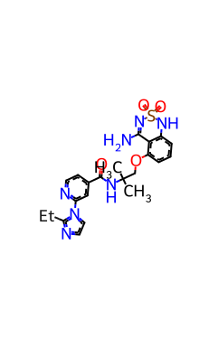 CCc1nccn1-c1cc(C(=O)NC(C)(C)COc2cccc3c2C(N)=NS(=O)(=O)N3)ccn1